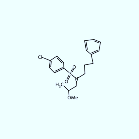 COC(C)CN(CCCc1ccccc1)S(=O)(=O)c1ccc(Cl)cc1